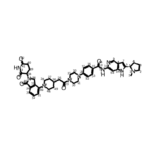 CN1CCC[C@@H]1c1cc2cnc(NC(=O)c3ccc(N4CCN(C(=O)CC5CCN(c6cccc7c6CN(C6CCC(=O)NC6=O)C7=O)CC5)CC4)cc3)cc2[nH]1